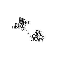 CCCCOC(OCC)(OC(=O)CCCCCCC(=O)OC(OCCC)C(OCC)(OCC)OCC)C(OCC)(OCC)OCC